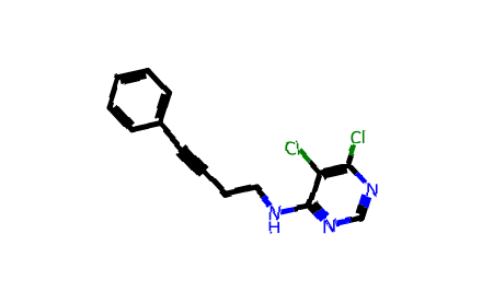 Clc1ncnc(NCCC#Cc2ccccc2)c1Cl